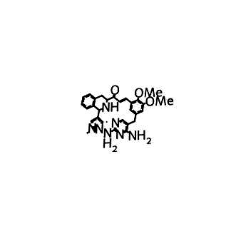 COc1cc(Cc2cnc(N)nc2N)cc(C=CC(=O)C2Cc3ccccc3C(c3[c]nn(C)c3)N2)c1OC